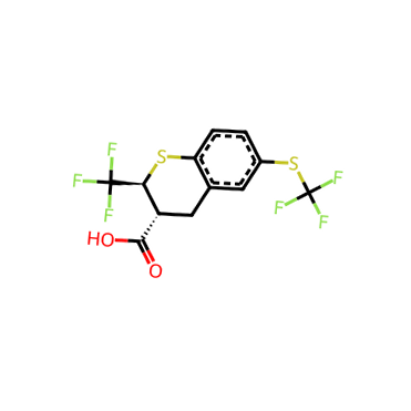 O=C(O)[C@H]1Cc2cc(SC(F)(F)F)ccc2S[C@@H]1C(F)(F)F